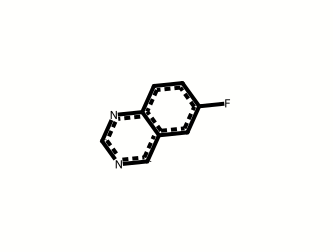 Fc1ccc2ncn[c]c2c1